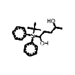 CC(O)CCC(O)[Si](c1ccccc1)(c1ccccc1)C(C)(C)C